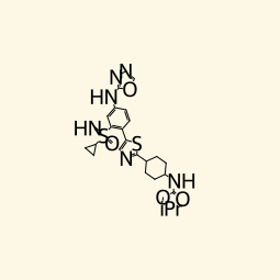 CC(C)OC(=O)NC1CCC(c2ncc(-c3ccc(Nc4nnco4)cc3S(=N)(=O)C3CC3)s2)CC1